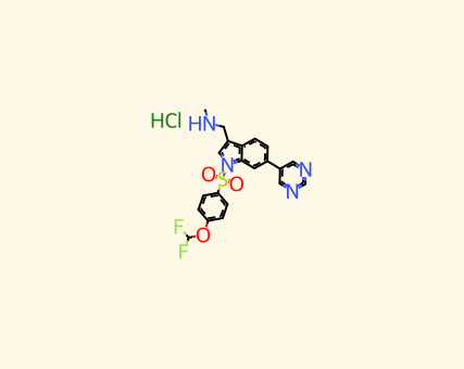 CNCc1cn(S(=O)(=O)c2ccc(OC(F)F)cc2)c2cc(-c3cncnc3)ccc12.Cl